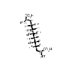 CC(C)N(CC(F)(F)C(F)(F)C(F)(F)C(F)(F)C(F)(F)C(F)(F)CN(C(=O)O)C(C)C)C(=O)O